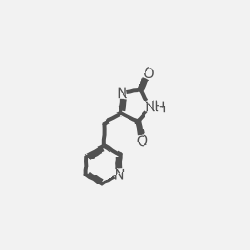 O=C1N=C(Cc2cccnc2)C(=O)N1